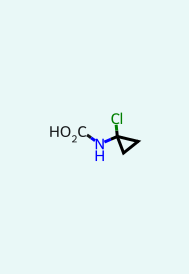 O=C(O)NC1(Cl)CC1